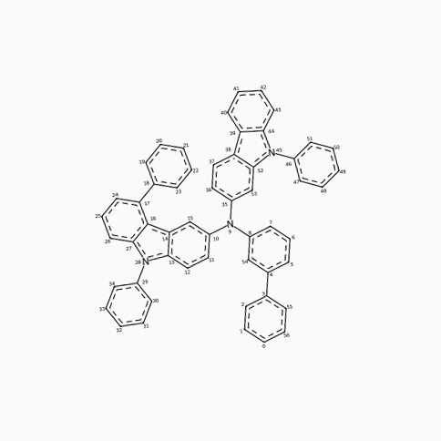 c1ccc(-c2cccc(N(c3ccc4c(c3)c3c(-c5ccccc5)cccc3n4-c3ccccc3)c3ccc4c5ccccc5n(-c5ccccc5)c4c3)c2)cc1